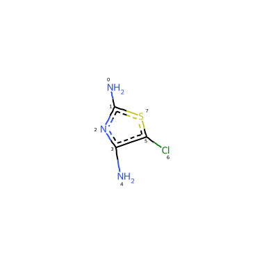 Nc1nc(N)c(Cl)s1